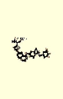 CCCNC(CSC)c1ccc(-c2ccc3ncnc(Nc4ccc5c(cnn5Cc5cccc(F)c5)c4)c3c2)o1